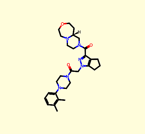 Cc1cccc(N2CCN(C(=O)Cn3nc(C(=O)N4CCN5CCOCC[C@@H]5C4)c4c3CCC4)CC2)c1C